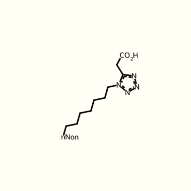 CCCCCCCCCCCCCCCCn1nnnc1CC(=O)O